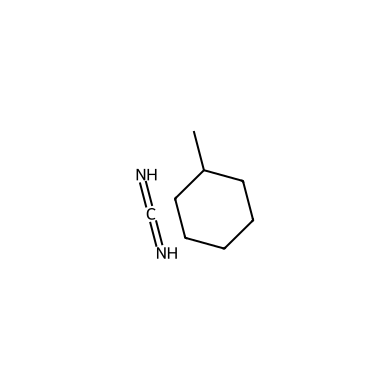 CC1CCCCC1.N=C=N